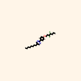 CCCCCCCCc1cnc(-c2ccc(OCCC(F)C(F)CCC)cc2)nc1